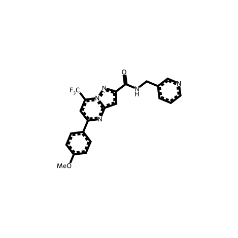 COc1ccc(-c2cc(C(F)(F)F)n3nc(C(=O)NCc4cccnc4)cc3n2)cc1